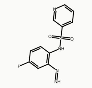 N=Nc1cc(F)ccc1NS(=O)(=O)c1cccnc1